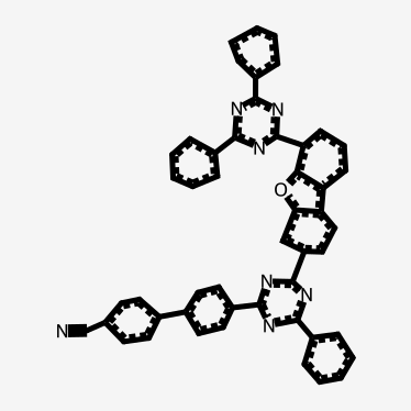 N#Cc1ccc(-c2ccc(-c3nc(-c4ccccc4)nc(-c4ccc5c(c4)oc4c(-c6nc(-c7ccccc7)nc(-c7ccccc7)n6)cccc45)n3)cc2)cc1